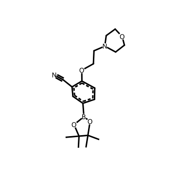 CC1(C)OB(c2ccc(OCCN3CCOCC3)c(C#N)c2)OC1(C)C